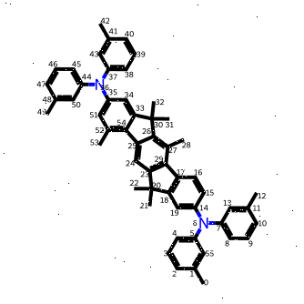 Cc1cccc(N(c2cccc(C)c2)c2ccc3c(c2)C(C)(C)c2cc4c(c(C)c2-3)C(C)(C)c2cc(N(c3cccc(C)c3)c3cccc(C)c3)cc(C)c2-4)c1